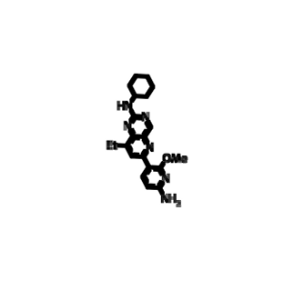 CCc1cc(-c2ccc(N)nc2OC)nc2cnc(NC3CCCCC3)nc12